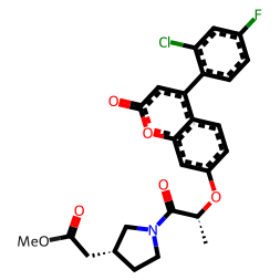 COC(=O)C[C@H]1CCN(C(=O)[C@@H](C)Oc2ccc3c(-c4ccc(F)cc4Cl)cc(=O)oc3c2)C1